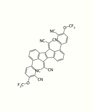 N#CC(C#N)=C1C2=C(C(=C(C#N)C#N)c3c2cccc3-c2ccc(OC(F)(F)F)c(C#N)c2)c2cccc(-c3ccc(OC(F)(F)F)c(C#N)c3)c21